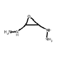 NNC1OC1NN